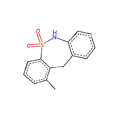 Cc1cccc2c1Cc1ccccc1NS2(=O)=O